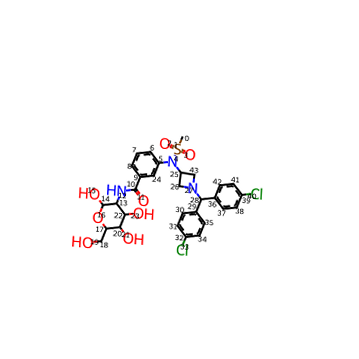 CS(=O)(=O)N(c1cccc(C(=O)NC2C(O)OC(CO)C(O)C2O)c1)C1CN(C(c2ccc(Cl)cc2)c2ccc(Cl)cc2)C1